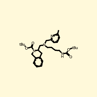 Cc1cccc(CN(CCCCNC(=O)OC(C)(C)C)CC2Cc3ccccc3CN2C(=O)OC(C)(C)C)n1